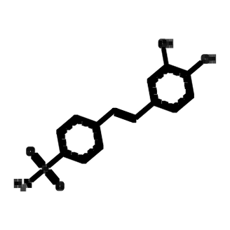 NS(=O)(=O)c1ccc(/C=C/c2ccc(O)c(O)c2)cc1